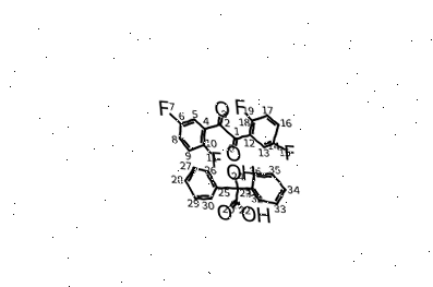 O=C(C(=O)c1cc(F)ccc1F)c1cc(F)ccc1F.O=C(O)C(O)(c1ccccc1)c1ccccc1